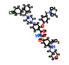 CN(C)Cc1ccc(Oc2cc(N3CCN(Cc4ccccc4-c4ccc(Cl)cc4)CC3)ccc2C(=O)NS(=O)(=O)c2ccc(NCC3CCOCC3)c([N+](=O)[O-])c2)cc1